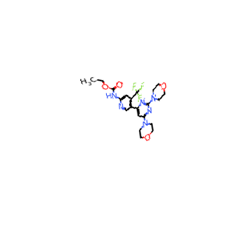 CCOC(=O)Nc1cc(C(F)(F)F)c(-c2cc(N3CCOCC3)nc(N3CCOCC3)n2)cn1